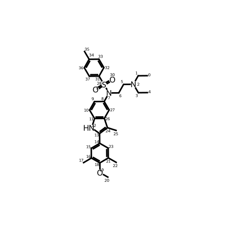 CCN(CC)CCN(c1ccc2[nH]c(-c3cc(C)c(OC)c(C)c3)c(C)c2c1)S(=O)(=O)c1ccc(C)cc1